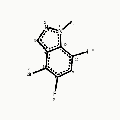 Cn1ncc2c(Br)c(F)cc(I)c21